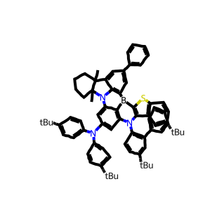 CC(C)(C)c1ccc(N(c2ccc(C(C)(C)C)cc2)c2cc3c4c(c2)N2c5c(cc(-c6ccccc6)cc5C5(C)CCCCC25C)B4c2sc4ccc(C(C)(C)C)cc4c2N3c2ccc(C(C)(C)C)cc2-c2ccccc2)cc1